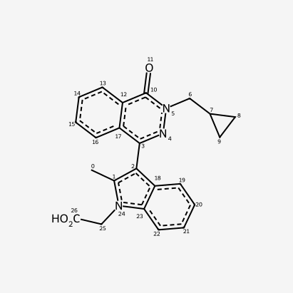 Cc1c(-c2nn(CC3CC3)c(=O)c3ccccc23)c2ccccc2n1CC(=O)O